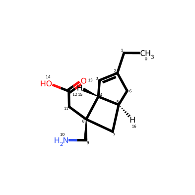 CCC1=C[C@@H]2[C@@H](C1)C[C@]2(CN)CC(=O)O